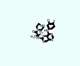 CC(C)(Nc1ncc2ncnc(Nc3ccc(F)c(Cl)c3)c2n1)C(=O)N1CCNCC1